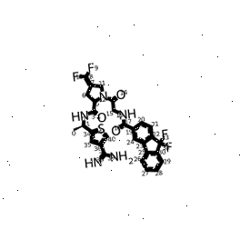 C[C@@H](NC(=O)C1CC(=C(F)F)CN1C(=O)CNC(=O)c1ccc2c(c1)-c1ccccc1C2(F)F)c1cc(C(=N)N)cs1